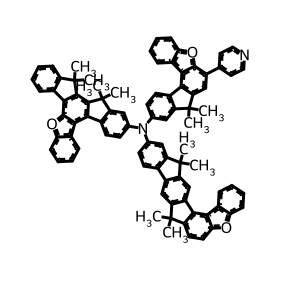 CC1(C)c2cc(N(c3ccc4c(c3)C(C)(C)c3cc(-c5ccncc5)c5oc6ccccc6c5c3-4)c3ccc4c(c3)C(C)(C)c3c5c(c6oc7ccccc7c6c3-4)-c3ccccc3C5(C)C)ccc2-c2cc3c(cc21)-c1c(ccc2oc4ccccc4c12)C3(C)C